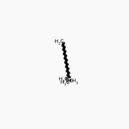 [CH2]CCCCCCCCCCCCCCCCC[Si](C)(C)C